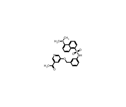 CC(=O)c1cncc(OCc2cccc(NS(=O)(=O)c3cccc4c(N(C)C)cccc34)c2)c1